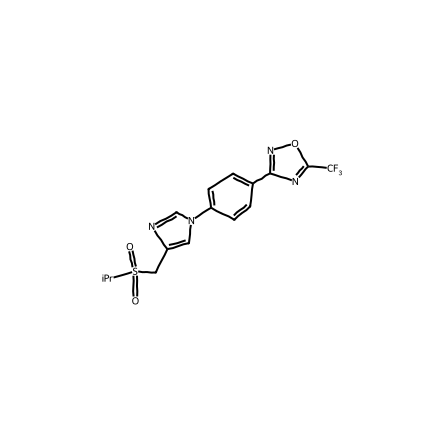 CC(C)S(=O)(=O)Cc1cn(-c2ccc(-c3noc(C(F)(F)F)n3)cc2)cn1